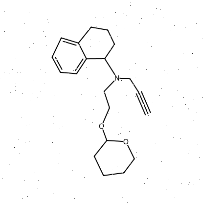 C#CCN(CCOC1CCCCO1)C1CCCc2ccccc21